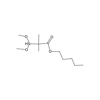 CCCCCOC(=O)C(C)(C)[SiH](OC)OC